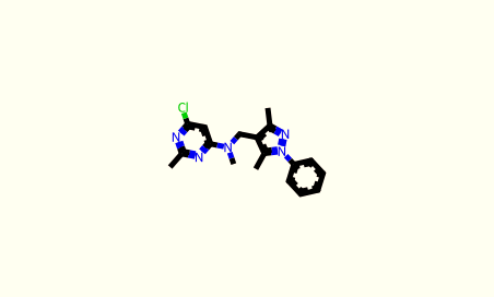 Cc1nc(Cl)cc(N(C)Cc2c(C)nn(-c3ccccc3)c2C)n1